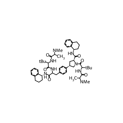 CNC(C)C(=O)NC(C(=O)NC(Cc1ccc([C@H]2C[C@@H](C(=O)N[C@@H]3CCCc4ccccc43)N(C(=O)C(NC(=O)C(C)NC)C(C)(C)C)C2)cc1)C(=O)N[C@@H]1CCCc2ccccc21)C(C)(C)C